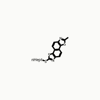 CCCCCCCSc1nc2ccc3c(ccc4nc(C)sc43)c2s1